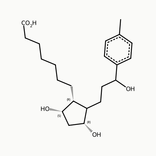 Cc1ccc(C(O)CCC2[C@H](O)C[C@H](O)[C@@H]2CCCCCCC(=O)O)cc1